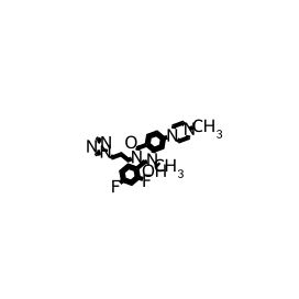 CN1CCN(c2ccc3c(c2)N(C)C(O)(c2ccc(F)cc2F)N(CCCn2cncn2)C3=O)CC1